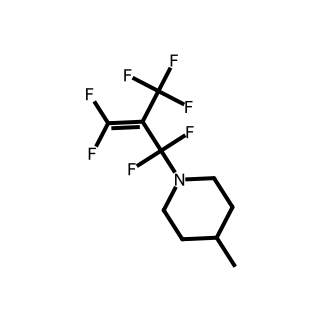 CC1CCN(C(F)(F)C(=C(F)F)C(F)(F)F)CC1